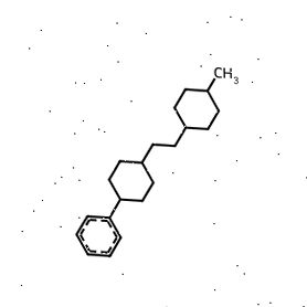 CC1CCC(CCC2CCC(c3ccccc3)CC2)CC1